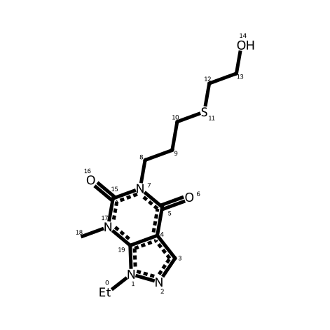 CCn1ncc2c(=O)n(CCCSCCO)c(=O)n(C)c21